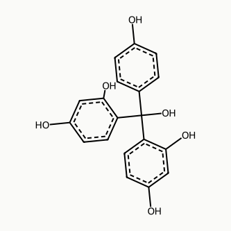 Oc1ccc(C(O)(c2ccc(O)cc2O)c2ccc(O)cc2O)cc1